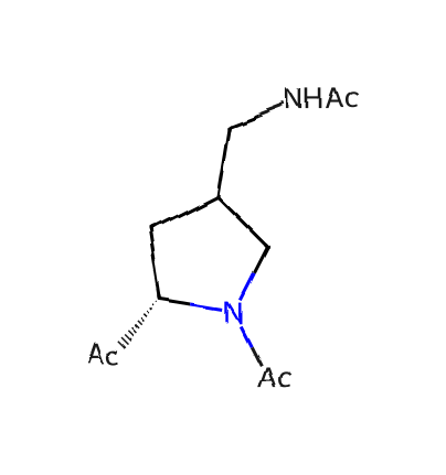 CC(=O)NCC1C[C@@H](C(C)=O)N(C(C)=O)C1